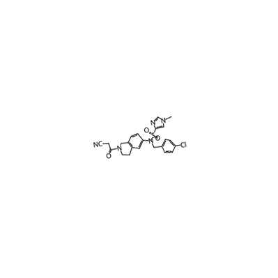 Cn1cnc(S(=O)(=O)N(Cc2ccc(Cl)cc2)c2ccc3c(c2)CCN(C(=O)CC#N)C3)c1